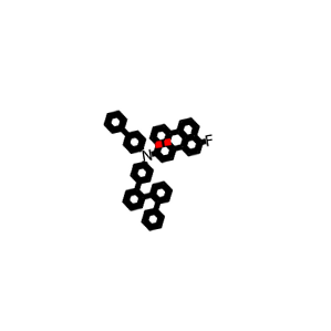 Fc1ccc(-c2ccc(N(c3ccc(-c4ccccc4)cc3)c3ccc(-c4ccccc4-c4ccccc4-c4ccccc4)cc3)cc2)c2c(-c3ccccc3)cccc12